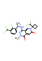 C[C@@H](Nc1nn(C)c(=O)c2cc(=O)n(C3(C(F)F)CCC3)cc12)c1cccc(C(F)F)c1F